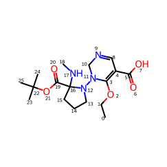 CCOC1=C(C(=O)O)C=NCN1N1CCCC1(NC)C(=O)OC(C)(C)C